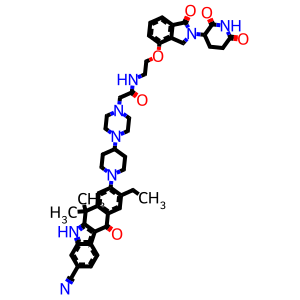 CCc1cc2c(cc1N1CCC(N3CCN(CC(=O)NCCOc4cccc5c4CN(C4CCC(=O)NC4=O)C5=O)CC3)CC1)C(C)(C)c1[nH]c3cc(C#N)ccc3c1C2=O